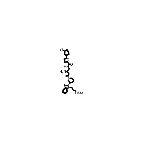 COCCCn1c([C@@H]2CCCN(C(=O)C[C@@H](N)CNC(=O)c3ccc(-c4cccc(Cl)c4)o3)C2)nc2ccccc21